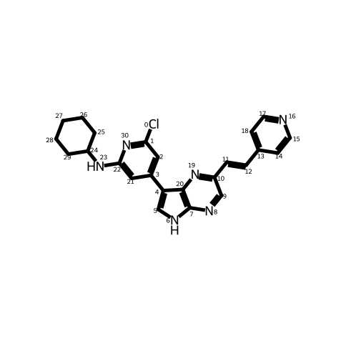 Clc1cc(-c2c[nH]c3ncc(C=Cc4ccncc4)nc23)cc(NC2CCCCC2)n1